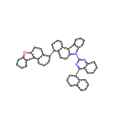 c1ccc2c(-c3nc(-n4c5ccccc5c5c6cccc(-c7cccc8c7ccc7oc9ccccc9c78)c6ccc54)nc4ccccc34)cccc2c1